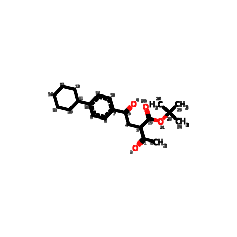 CC(=O)C(CC(=O)c1ccc(C2CCCCC2)cc1)C(=O)OC(C)(C)C